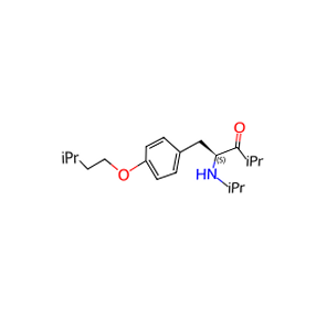 CC(C)CCOc1ccc(C[C@H](NC(C)C)C(=O)C(C)C)cc1